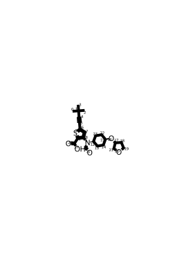 CC(C)(C)C#Cc1cc(N(C=O)[C@H]2CC[C@H](OC3CCOC3)CC2)c(C(=O)O)s1